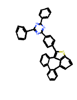 c1ccc(-c2nc(-c3ccccc3)nc(-c3ccc(-c4sc5cccc6c5c4-c4ccccc4-c4ccccc4-6)cc3)n2)cc1